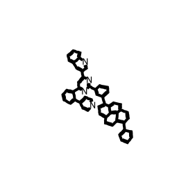 c1ccc(-c2ccc3ccc4c(-c5cccc(-c6nc(-c7cnc8ccccc8c7)cc(-c7ccccc7-c7ccncc7)n6)c5)ccc5ccc2c3c54)cc1